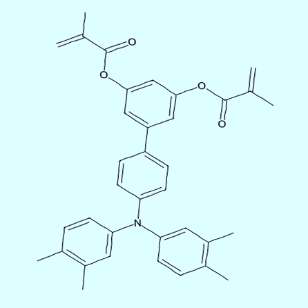 C=C(C)C(=O)Oc1cc(OC(=O)C(=C)C)cc(-c2ccc(N(c3ccc(C)c(C)c3)c3ccc(C)c(C)c3)cc2)c1